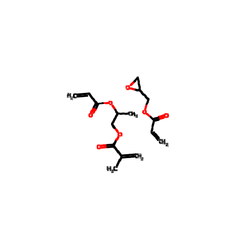 C=CC(=O)OC(C)COC(=O)C(=C)C.C=CC(=O)OCC1CO1